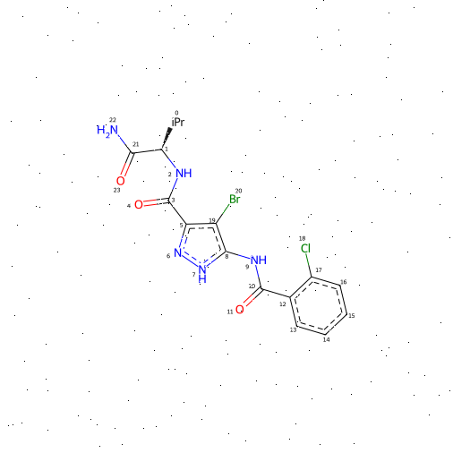 CC(C)[C@@H](NC(=O)c1n[nH]c(NC(=O)c2ccccc2Cl)c1Br)C(N)=O